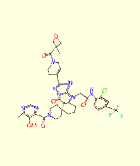 Cc1ncnc(C(=O)N2CCC3(CCCc4c3c(=O)n3nc(C5=CCN(C(=O)C6(C)COC6)CC5)nc3n4CC(=O)Nc3ccc(C(F)(F)F)cc3Cl)CC2)c1O